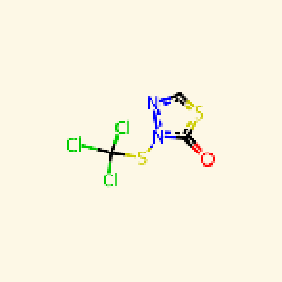 O=c1scnn1SC(Cl)(Cl)Cl